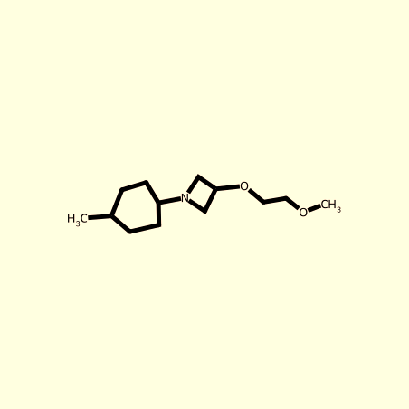 COCCOC1CN(C2CCC(C)CC2)C1